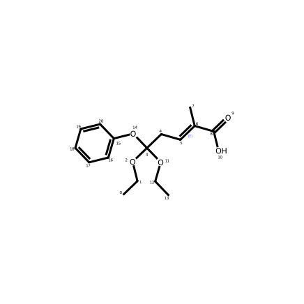 CCOC(C/C=C(\C)C(=O)O)(OCC)Oc1ccccc1